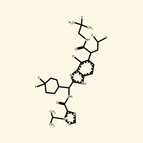 CC(C)n1ncnc1C(=O)NC(c1nc2c(F)c(C(CC(F)F)C(=O)NCC(C)(C)F)ccc2[nH]1)C1CCC(F)(F)CC1